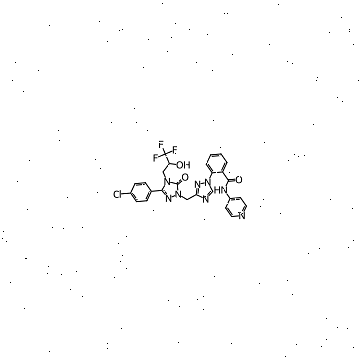 O=C(Nc1ccncc1)c1ccccc1-n1cnc(Cn2nc(-c3ccc(Cl)cc3)n(CC(O)C(F)(F)F)c2=O)n1